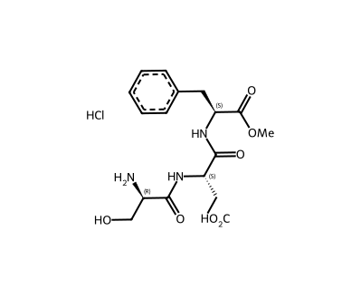 COC(=O)[C@H](Cc1ccccc1)NC(=O)[C@H](CC(=O)O)NC(=O)[C@H](N)CO.Cl